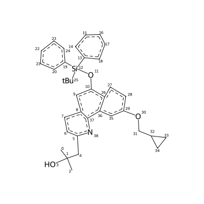 CC(C)(O)Cc1ccc2cc(O[Si](c3ccccc3)(c3ccccc3)C(C)(C)C)c3ccc(OCC4CC4)cc3c2n1